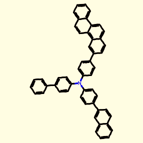 c1ccc(-c2ccc(N(c3ccc(-c4ccc5ccccc5c4)cc3)c3ccc(-c4ccc5ccc6c7ccccc7ccc6c5c4)cc3)cc2)cc1